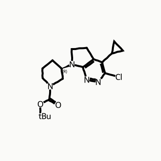 CC(C)(C)OC(=O)N1CCC[C@@H](N2CCc3c2nnc(Cl)c3C2CC2)C1